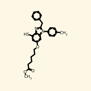 COC(=O)CCCCCOc1cc(S)c2nc(Cc3ccccc3)n(-c3ccc(C)cc3)c2c1